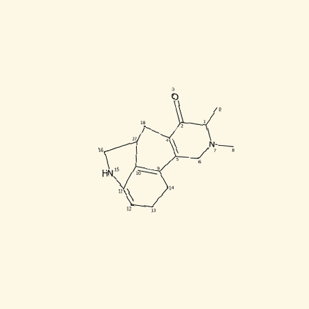 CC1C(=O)C2=C(CN1C)C1=C3C(=CCC1)NCC3C2